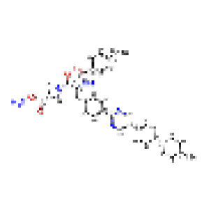 CCC[C@H]1CC[C@H](C2CC=C(c3cnc(-c4ccc(C[C@H](NC(=O)c5ccc(C(C)(C)C)cc5)C(=O)N5CC(C(=O)ON)C5)cc4)nc3)CC2)CC1